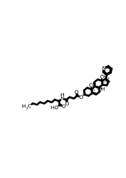 CCCCCCCCC(NC(=O)CCC(=O)O[C@H]1CC[C@@]2(C)C(=CC[C@@H]3C2CC[C@]2(C)C(c4cccnc4)=CCC32)C1)C(=O)O